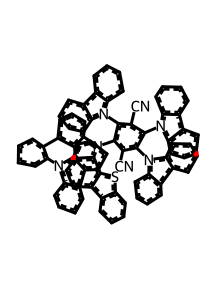 N#Cc1c(-n2c3ccccc3c3ccccc32)c(-n2c3ccccc3c3ccccc32)c(C#N)c(-n2c3cccc(-c4ccccc4-n4c5ccccc5c5ccccc54)c3c3ccc4c5ccccc5sc4c32)c1-n1c2ccccc2c2ccccc21